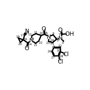 CN(C(=O)O)[C@@H]1CN(C(=O)C2CCN(C(=O)C3(C#N)CC3)CC2)C[C@H]1c1ccc(Cl)c(Cl)c1